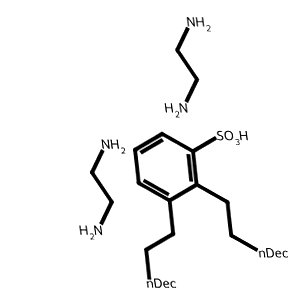 CCCCCCCCCCCCc1cccc(S(=O)(=O)O)c1CCCCCCCCCCCC.NCCN.NCCN